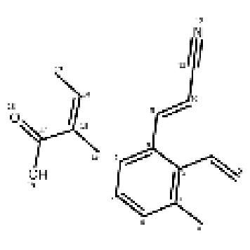 C=Cc1c(C)cccc1C=CC#N.CC=C(C)C(=O)O